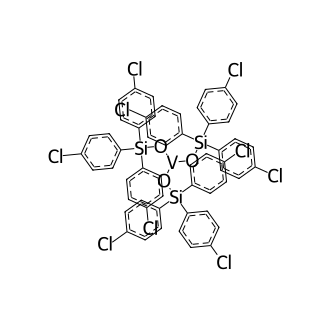 Clc1ccc([Si]([O][V]([O][Si](c2ccc(Cl)cc2)(c2ccc(Cl)cc2)c2ccc(Cl)cc2)[O][Si](c2ccc(Cl)cc2)(c2ccc(Cl)cc2)c2ccc(Cl)cc2)(c2ccc(Cl)cc2)c2ccc(Cl)cc2)cc1